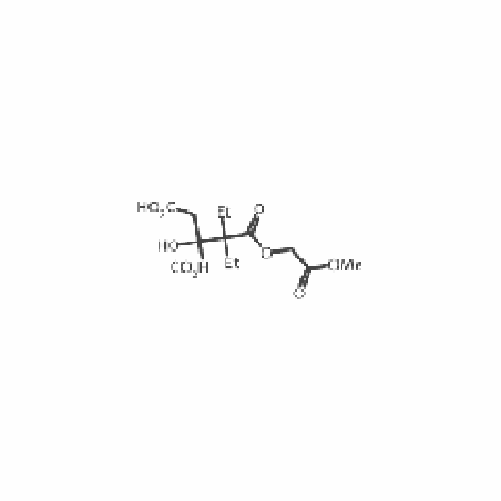 CCC(CC)(C(=O)OCC(=O)OC)C(O)(CC(=O)O)C(=O)O